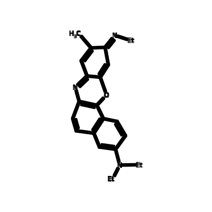 CCN=c1cc2oc3c(ccc4cc(N(CC)CC)ccc43)nc-2cc1C